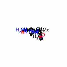 COc1cc(C(=O)N2CC3CCC2[C@@H]3C)cc2nc(-c3cc4ccc(-c5cnc(C(N)=O)nc5)nc4n3CC3CC3)n(C)c12